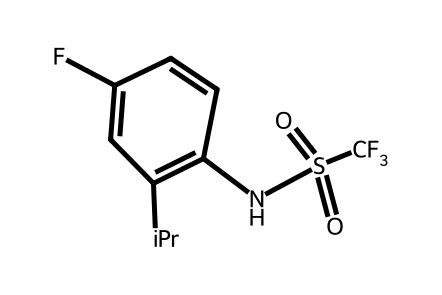 CC(C)c1cc(F)ccc1NS(=O)(=O)C(F)(F)F